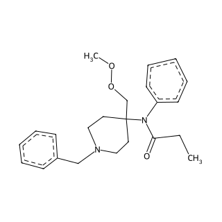 CCC(=O)N(c1ccccc1)C1(COOC)CCN(Cc2ccccc2)CC1